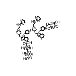 Fc1ccc(Cn2c(CC3CCN(CCNc4ncccn4)CC3)nc3ncccc32)cc1.Fc1ccc(Cn2c(CC3CCN(CCNc4ncccn4)CC3)nc3ncccc32)cc1.O=C(O)C(=O)O.O=C(O)C(=O)O.O=C(O)C(=O)O.O=C(O)C(=O)O.O=C(O)C(=O)O